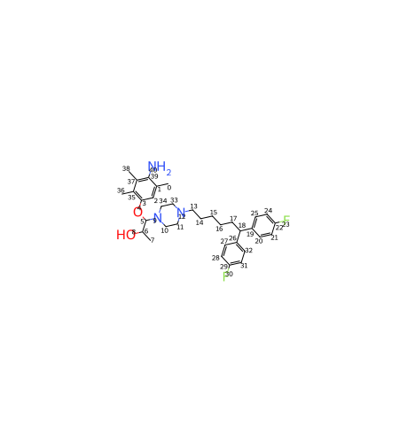 Cc1cc(OC(C(C)O)N2CCN(CCCCCC(c3ccc(F)cc3)c3ccc(F)cc3)CC2)c(C)c(C)c1N